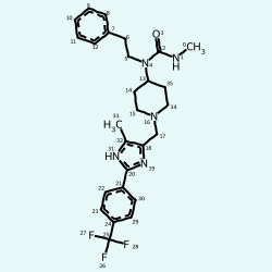 CNC(=O)N(CCc1ccccc1)C1CCN(Cc2nc(-c3ccc(C(F)(F)F)cc3)[nH]c2C)CC1